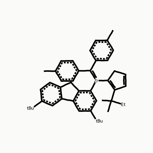 CCC(C)(C)C1=[C]([Zr](=[C](c2ccc(C)cc2)c2ccc(C)cc2)[c]2cc(C(C)(C)C)cc3c2Cc2ccc(C(C)(C)C)cc2-3)CC=C1